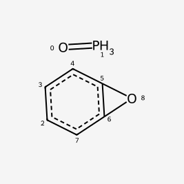 O=[PH3].c1ccc2c(c1)O2